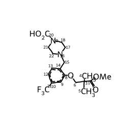 COC(=O)C(C)(C)COc1cc(C(F)(F)F)ccc1CN1CCN(C(=O)O)CC1